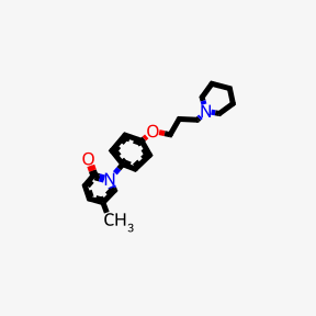 Cc1ccc(=O)n(-c2ccc(OCCCN3CCCCC3)cc2)c1